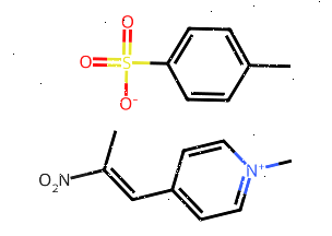 CC(=Cc1cc[n+](C)cc1)[N+](=O)[O-].Cc1ccc(S(=O)(=O)[O-])cc1